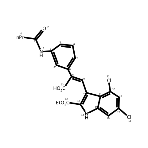 CCCC(=O)Nc1cccc(C(=Cc2c(C(=O)OCC)[nH]c3cc(Cl)cc(Cl)c23)C(=O)O)c1